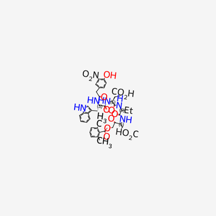 CC[C@H](NC(=O)[C@H](CCC(=O)O)NC(=O)[C@H](Cc1c[nH]c2ccccc12)NC(=O)Cc1ccc(O)c([N+](=O)[O-])c1)C(=O)N[C@@H](CC(=O)O)C(=O)COC(=O)c1c(C)cccc1C